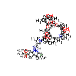 CC[C@H]1OC(=O)[C@H](C)[C@@H](O[C@H]2C[C@@](C)(OC)[C@@H](O)[C@H](C)O2)[C@H](C)[C@@H](O[C@H]2C[C@@H](N(C)CCc3cn([C@H](CF)[C@H](OC)c4ccc(S(=O)(=O)C5CCCC5)cc4)nn3)C[C@@H](C)O2)[C@](C)(O)C[C@@H](C)CN(C)[C@H](C)[C@@H](O)[C@]1(C)O